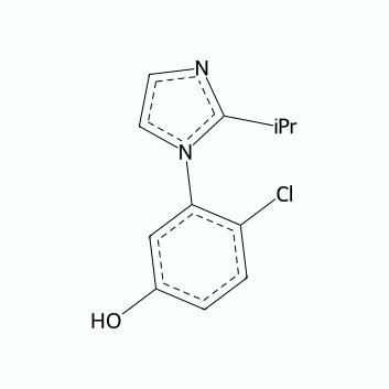 CC(C)c1nccn1-c1cc(O)ccc1Cl